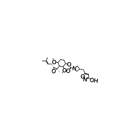 COC1CC[C@@H](OC(=O)N2CC(Cc3cc(O)no3)C2)[C@@H](OC)C1[C@@]1(C)O[C@@H]1CC=C(C)C